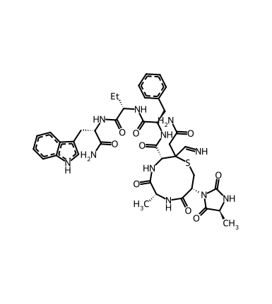 CC[C@H](NC(=O)[C@@H](Cc1ccccc1)NC(=O)[C@H]1NC(=O)[C@@H](C)NC(=O)[C@@H](N2C(=O)N[C@@H](C)C2=O)CSC1(C=N)CC(N)=O)C(=O)N[C@@H](Cc1c[nH]c2ccccc12)C(N)=O